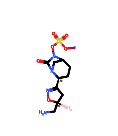 B[C@]1(CN)CC([C@@H]2CCC3CN2C(=O)N3OS(=O)(=O)OI)=NO1